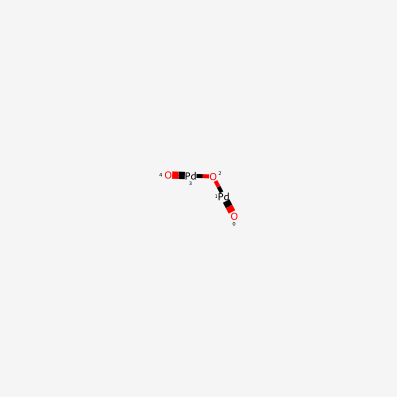 [O]=[Pd][O][Pd]=[O]